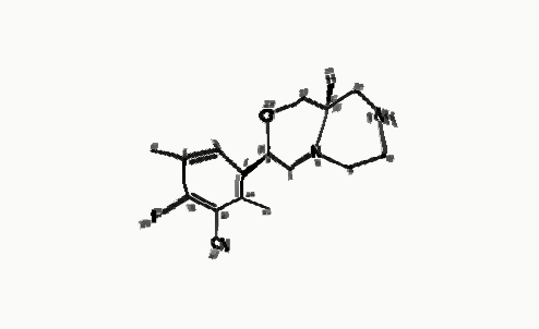 Cc1cc([C@@H]2CN3CCNC[C@H]3CO2)c(C)c(C#N)c1F